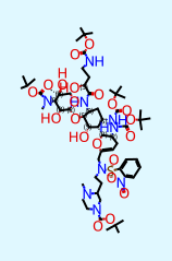 CN1CCN(C(=O)OC(C)(C)C)CC1CCN(CC1=CC[C@@H](NC(=O)OC(C)(C)C)[C@@H](C2[C@@H](NC(=O)OC(C)(C)C)C[C@@H](NC(=O)[C@@H](O)CCNC(=O)OC(C)(C)C)[C@H](O[C@H]3OC[C@](C)(O)[C@H](N(C)C(=O)OC(C)(C)C)[C@H]3O)[C@H]2O)O1)S(=O)(=O)c1ccccc1N=O